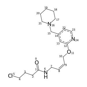 O=C(CCCCl)NC/C=C\COc1cc(CN2CCCCC2)ccn1